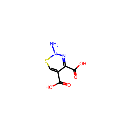 NN1N=C(C(=O)O)C(C(=O)O)=CS1